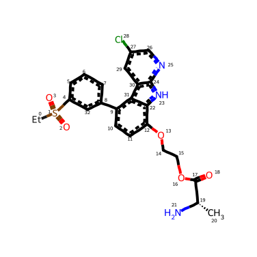 CCS(=O)(=O)c1cccc(-c2ccc(OCCOC(=O)[C@H](C)N)c3[nH]c4ncc(Cl)cc4c23)c1